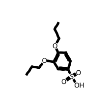 CCCOc1ccc(S(=O)(=O)O)cc1OCCC